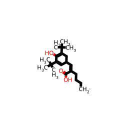 [CH2]CCCC(=CC1C=C(C(C)(C)C)C(O)=C(C(C)(C)C)C1)C(=O)O